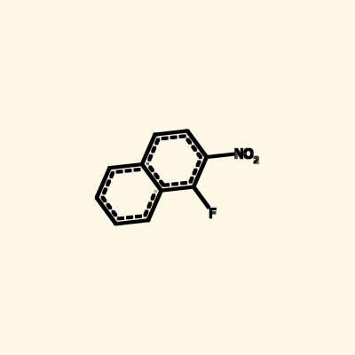 O=[N+]([O-])c1ccc2ccccc2c1F